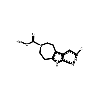 CC(C)(C)OC(=O)N1CCc2[nH]c3nnc(Cl)cc3c2CC1